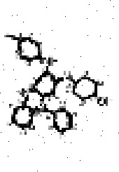 Cc1ccc(Nc2cc3nc4ccccc4n(-c4ccccc4)c-3c/c2=N\C2CCC(O)CC2)cn1